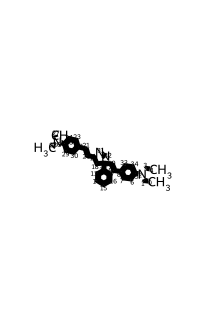 CCN(CC)c1ccc(C=CC2(c3ccccc3)CC(C=Cc3ccc(N(C)C)cc3)N=N2)cc1